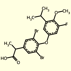 COc1c(F)cc(Oc2c(Br)cc(C(C)C(=O)O)cc2Br)cc1C(C)C